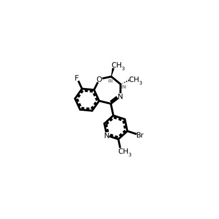 Cc1ncc(C2=N[C@@H](C)[C@H](C)Oc3c(F)cccc32)cc1Br